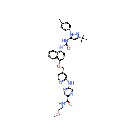 COCCNC(=O)c1cnc(Nc2cc(COc3ccc(NC(=O)Nc4cc(C(C)(C)C)nn4-c4ccc(C)cc4)c4ccccc34)ccn2)cn1